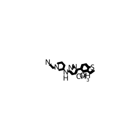 Cc1cc(N[C@@H]2CCCN(CC#N)C2)nnc1-c1ccc2sccc2c1O